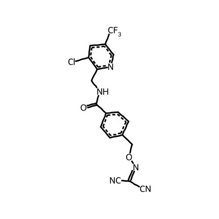 N#CC(C#N)=NOCc1ccc(C(=O)NCc2ncc(C(F)(F)F)cc2Cl)cc1